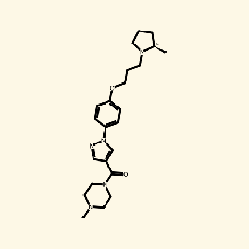 C[C@@H]1CCCN1CCCOc1ccc(-n2cc(C(=O)N3CCN(C)CC3)cn2)cc1